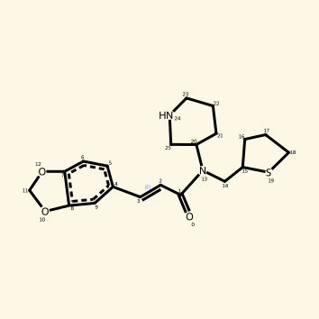 O=C(/C=C/c1ccc2c(c1)OCO2)N(CC1CCCS1)C1CCCNC1